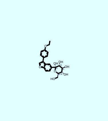 CCOc1ccc(-c2coc3ccc([C@]4(O)O[C@H](CO)[C@@H](O)[C@H](O)[C@H]4O)cc23)cc1